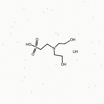 O=S(=O)(O)CCN(CCO)CCO.[LiH]